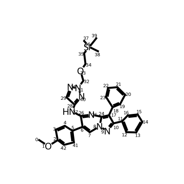 COc1ccc(-c2cn3nc(-c4ccccc4)c(-c4ccccc4)c3nc2Nc2cnn(COCC[Si](C)(C)C)n2)cc1